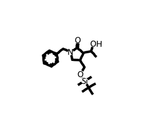 CC(O)C1C(=O)N(Cc2ccccc2)CC1CO[Si](C)(C)C(C)(C)C